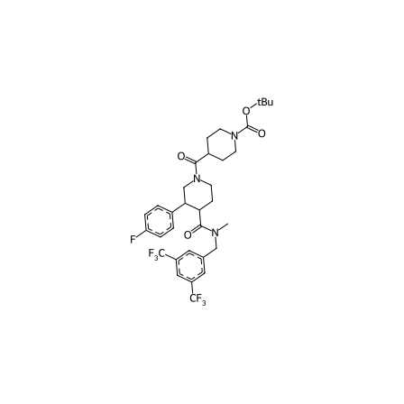 CN(Cc1cc(C(F)(F)F)cc(C(F)(F)F)c1)C(=O)C1CCN(C(=O)C2CCN(C(=O)OC(C)(C)C)CC2)CC1c1ccc(F)cc1